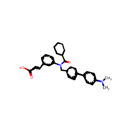 CN(C)c1ccc(-c2ccc(CN(C(=O)C3CCCCC3)c3cccc(/C=C/C(=O)O)c3)cc2)cc1